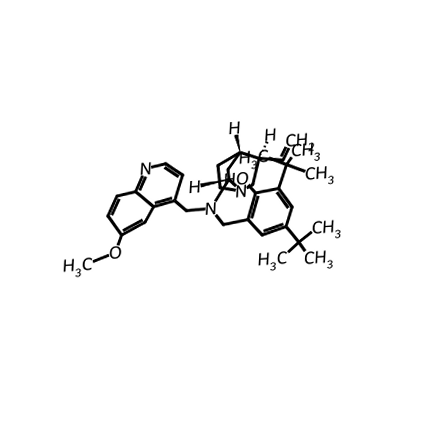 C=C[C@H]1CN2CC[C@H]1C[C@H]2N(Cc1cc(C(C)(C)C)cc(C(C)(C)C)c1O)Cc1ccnc2ccc(OC)cc12